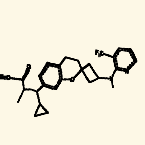 COC(=O)C(C)C(c1ccc2c(c1)OC1(CC2)CC(N(C)c2ncccc2C(F)(F)F)C1)C1CC1